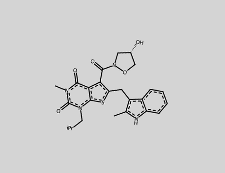 Cc1[nH]c2ccccc2c1Cc1sc2c(c1C(=O)N1C[C@H](O)CO1)c(=O)n(C)c(=O)n2CC(C)C